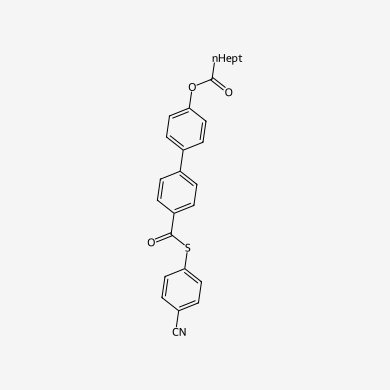 CCCCCCCC(=O)Oc1ccc(-c2ccc(C(=O)Sc3ccc(C#N)cc3)cc2)cc1